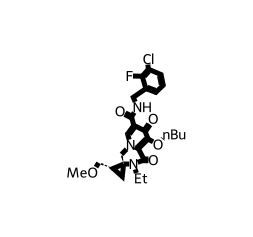 CCCCOc1c2n(cc(C(=O)NCc3cccc(Cl)c3F)c1=O)C[C@@]1(C[C@@H]1COC)N(CC)C2=O